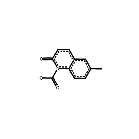 Cc1ccc2c(ccc(=O)n2C(=O)O)c1